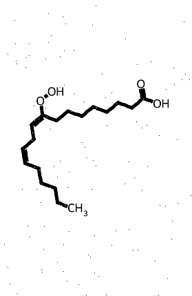 CCCCC/C=C\C/C=C(\CCCCCCCC(=O)O)OO